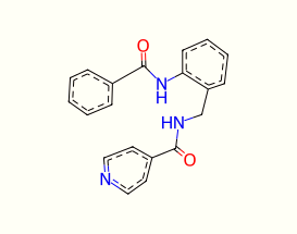 O=C(NCc1ccccc1NC(=O)c1ccccc1)c1ccncc1